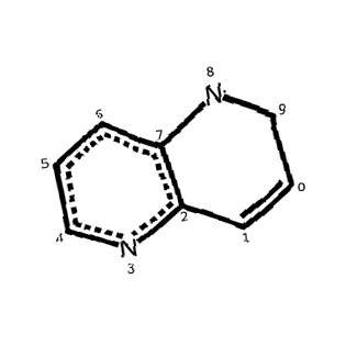 C1=Cc2ncccc2[N]C1